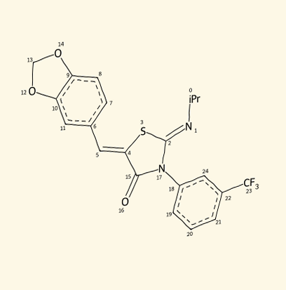 CC(C)/N=C1\S/C(=C\c2ccc3c(c2)OCO3)C(=O)N1c1cccc(C(F)(F)F)c1